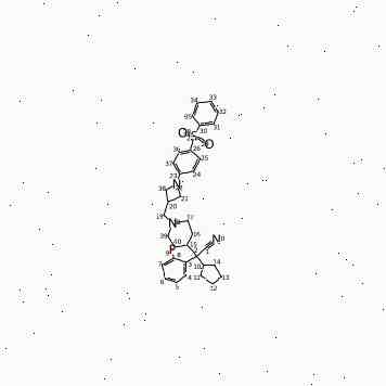 N#CC(c1ccccc1F)(C1CCCC1)C1CCN(CC2CN(c3ccc(S(=O)(=O)c4ccccc4)cc3)C2)CC1